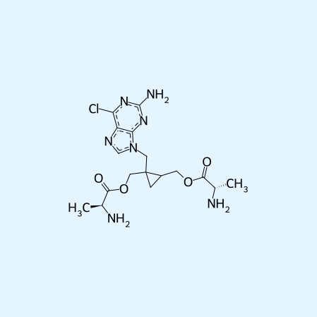 C[C@H](N)C(=O)OCC1CC1(COC(=O)[C@H](C)N)Cn1cnc2c(Cl)nc(N)nc21